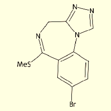 CSC1=NCc2nncn2-c2ccc(Br)cc21